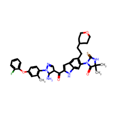 Cc1cc(Oc2ccccc2F)ccc1N1N=CC(C(=O)c2cc3cc(CCC4CCOCC4)c(N4C(=O)C(C)(C)NC4=S)cc3[nH]2)C1N